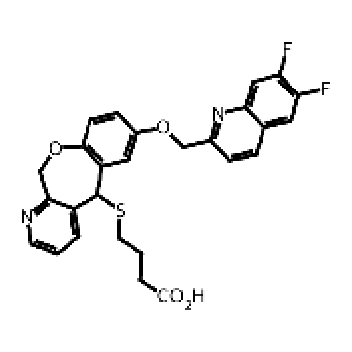 O=C(O)CCCSC1c2cc(OCc3ccc4cc(F)c(F)cc4n3)ccc2OCc2ncccc21